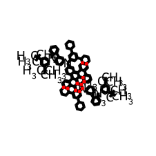 CC(C)(C)c1cc(-n2c3ccccc3c3cc(N(c4cc(C5CCCCC5)cc(C5CCCCC5)c4)c4ccc5c(-c6ccccc6-c6ccccc6)c6cc(N(c7cc(C8CCCCC8)cc(C8CCCCC8)c7)c7ccc8c(c7)c7ccccc7n8-c7cc(C(C)(C)C)cc(C(C)(C)C)c7)ccc6c(-c6ccccc6-c6ccccc6)c5c4)ccc32)cc(C(C)(C)C)c1